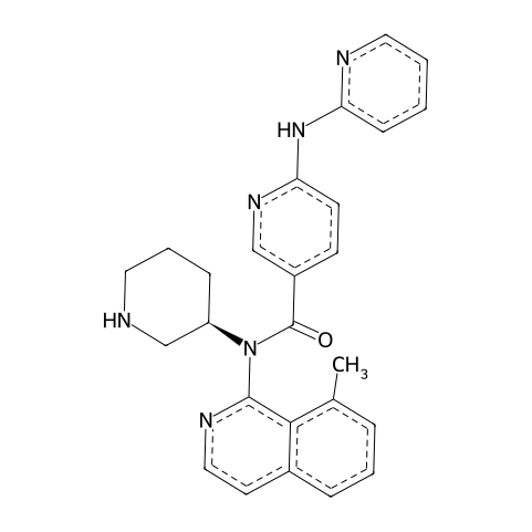 Cc1cccc2ccnc(N(C(=O)c3ccc(Nc4ccccn4)nc3)[C@@H]3CCCNC3)c12